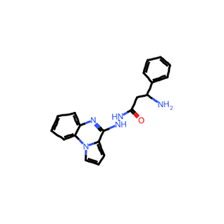 NC(CC(=O)NNc1nc2ccccc2n2cccc12)c1ccccc1